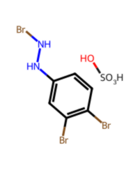 BrNNc1ccc(Br)c(Br)c1.O=S(=O)(O)O